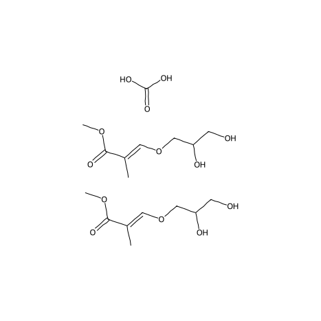 COC(=O)C(C)=COCC(O)CO.COC(=O)C(C)=COCC(O)CO.O=C(O)O